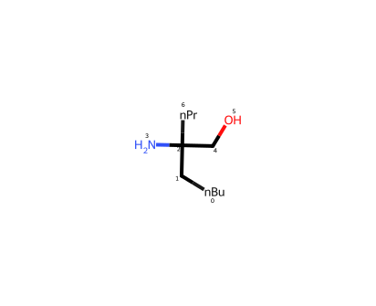 CCCCCC(N)(CO)CCC